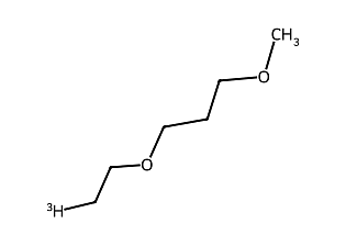 [3H]CCOCCCOC